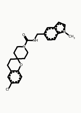 Cn1ccc2cc(CNC(=O)N3CCC4(CCc5cc(Cl)ccc5O4)CC3)ccc21